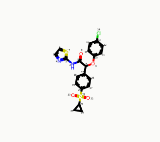 O=C(Nc1nccs1)C(Oc1ccc(Cl)cc1)c1ccc(S(=O)(=O)C2CC2)cc1